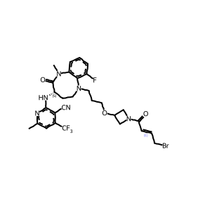 Cc1cc(C(F)(F)F)c(C#N)c(N[C@H]2CCN(CCCOC3CN(C(=O)/C=C/CBr)C3)c3c(F)cccc3N(C)C2=O)n1